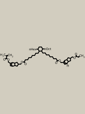 C=CC(=O)OCC1CC2C3C[C@@H](CC3COC(=O)CCCCCCCCC3C(CCCCCCCC)CCC(CCCCCC)C3CCCCCCCCC(=O)OCC3CC4C5CC(COC(=O)C(=C)C)C(C5)C4C3)C2C1